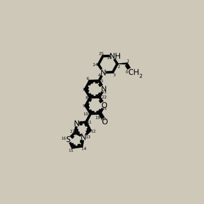 C=C[C@H]1CN(c2ccc3cc(-c4cn5ccsc5n4)c(=O)oc3n2)CCN1